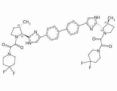 C[C@H]1CCN(C(=O)C(=O)N2CCC(F)(F)CC2)[C@@H]1c1nc(-c2ccc(-c3ccc(-c4c[nH]c([C@@H]5[C@@H](C)CCN5C(=O)C(=O)N5CCC(F)(F)CC5)n4)cc3)cc2)c[nH]1